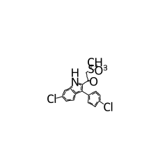 C[S+]([O-])CC(=O)c1[nH]c2cc(Cl)ccc2c1-c1ccc(Cl)cc1